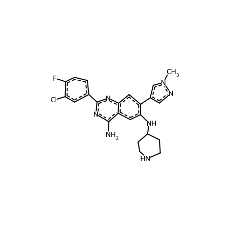 Cn1cc(-c2cc3nc(-c4ccc(F)c(Cl)c4)nc(N)c3cc2NC2CCNCC2)cn1